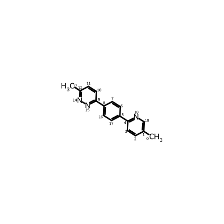 Cc1ccc(-c2ccc(-c3ccc(C)nn3)cc2)nc1